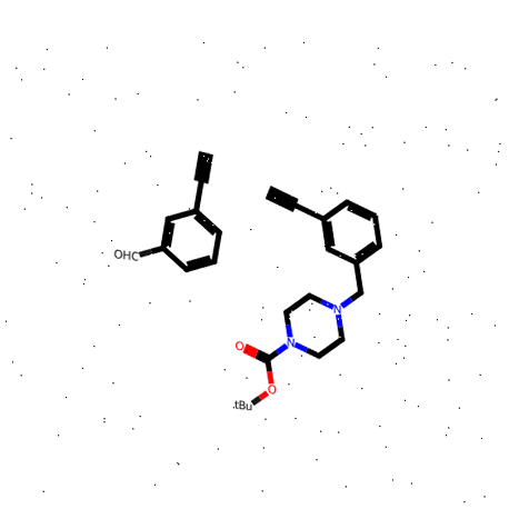 C#Cc1cccc(C=O)c1.C#Cc1cccc(CN2CCN(C(=O)OC(C)(C)C)CC2)c1